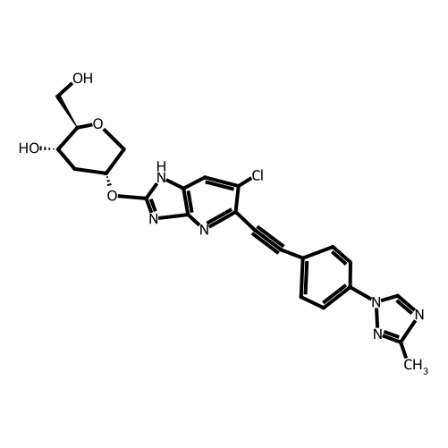 Cc1ncn(-c2ccc(C#Cc3nc4nc(O[C@H]5CO[C@H](CO)[C@@H](O)C5)[nH]c4cc3Cl)cc2)n1